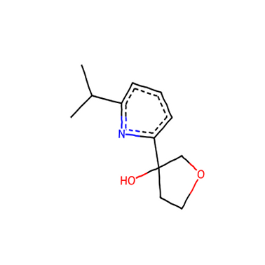 CC(C)c1cccc(C2(O)CCOC2)n1